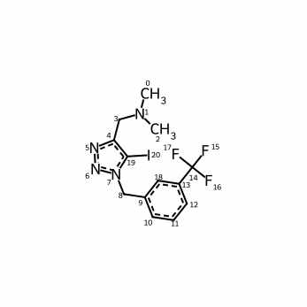 CN(C)Cc1nnn(Cc2cccc(C(F)(F)F)c2)c1I